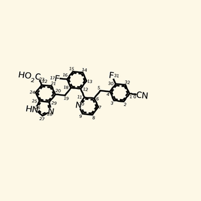 N#Cc1ccc(Cc2cccnc2-c2cccc(F)c2Cc2cc(C(=O)O)cc3[nH]cnc23)c(F)c1